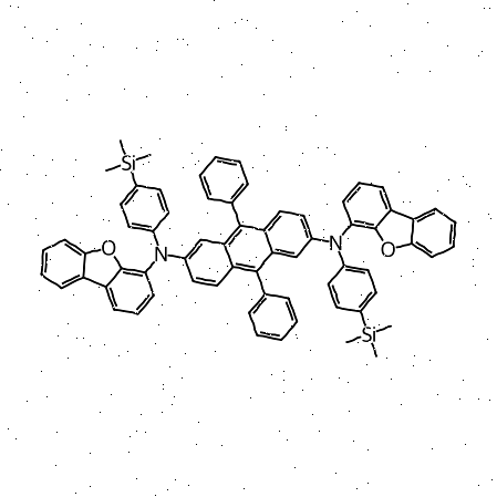 C[Si](C)(C)c1ccc(N(c2ccc3c(-c4ccccc4)c4cc(N(c5ccc([Si](C)(C)C)cc5)c5cccc6c5oc5ccccc56)ccc4c(-c4ccccc4)c3c2)c2cccc3c2oc2ccccc23)cc1